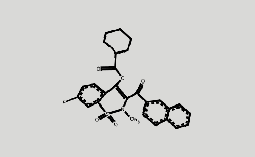 CN1C(C(=O)c2ccc3ccccc3c2)=C(OC(=O)C2CCCCC2)c2ccc(F)cc2S1(=O)=O